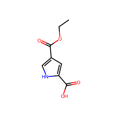 CCOC(=O)c1c[nH]c(C(=O)O)c1